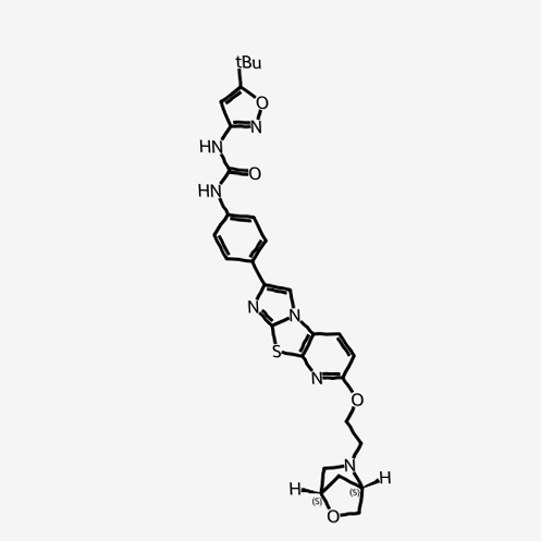 CC(C)(C)c1cc(NC(=O)Nc2ccc(-c3cn4c(n3)sc3nc(OCCN5C[C@@H]6C[C@H]5CO6)ccc34)cc2)no1